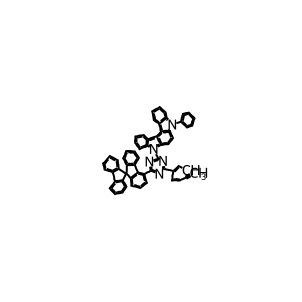 C#C/C=C\C(=C/C)c1nc(-c2cccc3c2-c2ccccc2C32c3ccccc3-c3ccccc32)nc(-n2c3ccccc3c3c4c5ccccc5n(-c5ccccc5)c4ccc32)n1